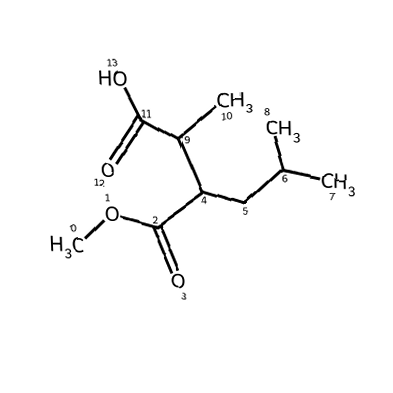 COC(=O)C(CC(C)C)C(C)C(=O)O